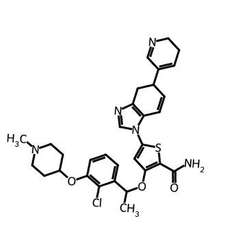 CC(Oc1cc(-n2cnc3c2C=CC(C2=CCCN=C2)C3)sc1C(N)=O)c1cccc(OC2CCN(C)CC2)c1Cl